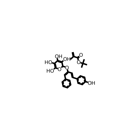 C=C(C)C(=O)OC(C)(C)C.OC1=C(O)C(O)=C(O)C(OC(C=Cc2ccc(O)cc2)=Cc2ccccc2)O1